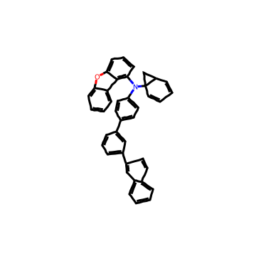 C1=CC2CC2(N(c2ccc(-c3cccc(-c4ccc5ccccc5c4)c3)cc2)c2cccc3oc4ccccc4c23)C=C1